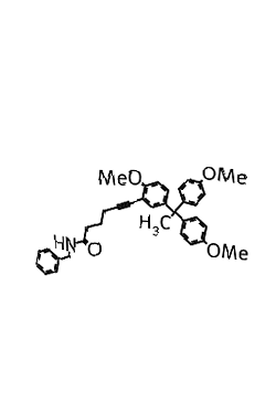 COc1ccc(C(C)(c2ccc(OC)cc2)c2ccc(OC)c(C#CCCCC(=O)NCc3ccccc3)c2)cc1